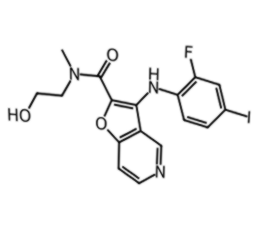 CN(CCO)C(=O)c1oc2ccncc2c1Nc1ccc(I)cc1F